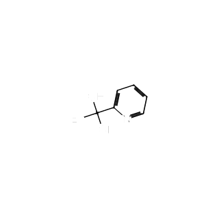 CCC(O)(O)c1ccccn1